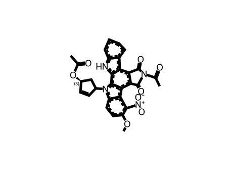 COc1ccc2c(c1[N+](=O)[O-])c1c3c(c4c5ccccc5[nH]c4c1n2C1C=C[C@@H](OC(C)=O)C1)C(=O)N(C(C)=O)C3=O